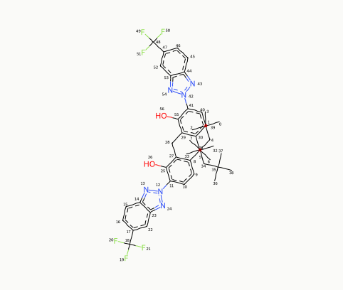 CC(C)(C)CC(C)(C)c1ccc(-n2nc3ccc(C(F)(F)F)cc3n2)c(O)c1Cc1c(C(C)(C)CC(C)(C)C)ccc(-n2nc3ccc(C(F)(F)F)cc3n2)c1O